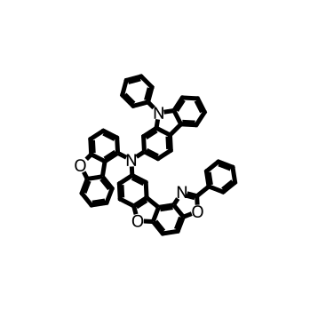 c1ccc(-c2nc3c(ccc4oc5ccc(N(c6ccc7c8ccccc8n(-c8ccccc8)c7c6)c6cccc7oc8ccccc8c67)cc5c43)o2)cc1